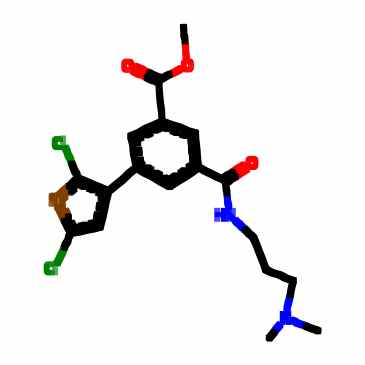 COC(=O)c1cc(C(=O)NCCCN(C)C)cc(-c2cc(Cl)sc2Cl)c1